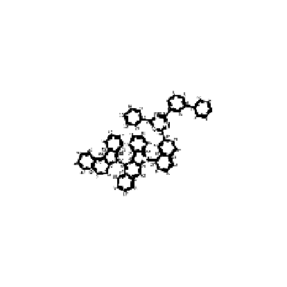 c1ccc(-c2cccc(-c3nc(-c4ccccc4)nc(-c4ccc5cccc(-n6c7ccccc7c7c(-n8c9ccccc9c9c%10ccccc%10ccc98)c8ccccc8cc76)c5c4)n3)c2)cc1